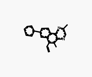 C=Cc1c(C)c2ncc(C)nc2c2ccc(-c3ccccc3)cc12